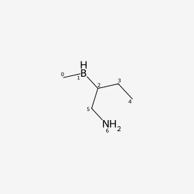 CBC(CC)CN